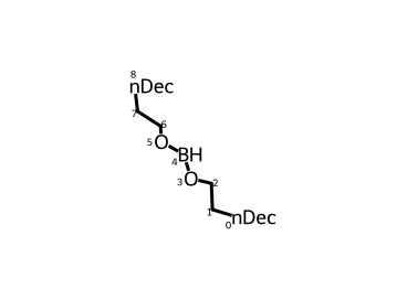 CCCCCCCCCCCCOBOCCCCCCCCCCCC